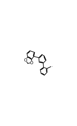 [CH2]c1ccccc1-c1cccc(-c2cccc3c2OCO3)c1